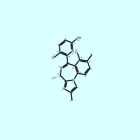 Cc1cn2c(n1)[C@H](C)N=C(c1nc(O)ccc1Cl)c1c-2ccc(C)c1Cl